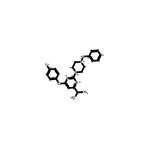 CC(C)c1cc(Oc2ccc(F)cc2)nc(N2CCN(Sc3ccccc3)CC2)n1